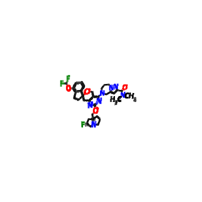 CN(C)C(=O)c1cc2n(n1)CCCN(c1nc(OC[C@@]34CCCN3C[C@H](F)C4)nc3c1COC1(CCc4c(OC(F)F)cccc41)C3)C2